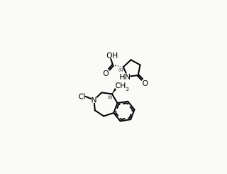 C[C@@H]1CN(Cl)CCc2ccccc21.O=C1CC[C@@H](C(=O)O)N1